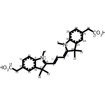 CN1/C(=C\C=C\C2=[N+](C)c3ccc(CC(=O)O)cc3C2(C)C)C(C)(C)c2cc(CC(=O)O)ccc21